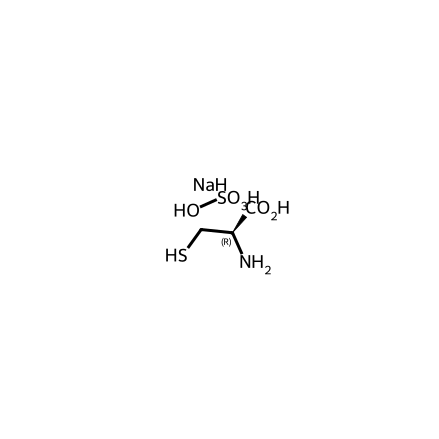 N[C@@H](CS)C(=O)O.O=S(=O)(O)O.[NaH]